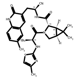 Cc1ccc2[nH]c(=O)c(C[C@@H](C#N)NC(=O)[C@@H]3[C@@H]4[C@H](CN3C(=O)[C@@H](Nc3nc(C)cs3)C(C)(C)C)C4(C)C)cc2c1